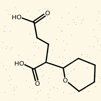 O=C(O)CCC(C(=O)O)C1CCCCO1